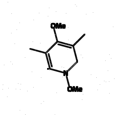 COC1=C(C)CN(OC)[C]=C1C